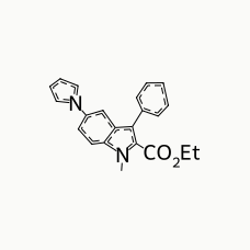 CCOC(=O)c1c(-c2ccccc2)c2cc(-n3cccc3)ccc2n1C